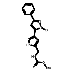 CCn1nc(-c2ccccc2)cc1-c1cc(CNC(=O)OC(C)(C)C)[nH]n1